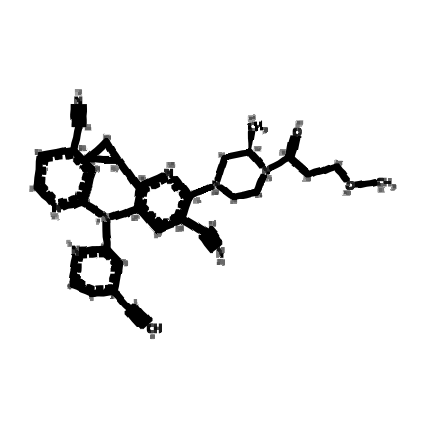 C#Cc1ccnc(N(c2cc(C#N)ccn2)c2cc(C#N)c(N3CCN(C(=O)CCOC)[C@H](C)C3)nc2C2CC2)c1